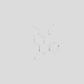 CCOC(=O)C1=C(C)NC(C=NO)=C(C(=O)OCC)C1c1ccccc1C(F)(F)F